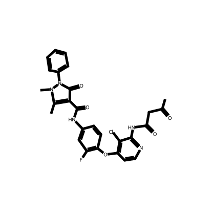 CC(=O)CC(=O)Nc1nccc(Oc2ccc(NC(=O)c3c(C)n(C)n(-c4ccccc4)c3=O)cc2F)c1Cl